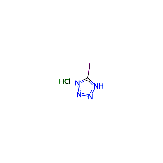 Cl.Ic1nnn[nH]1